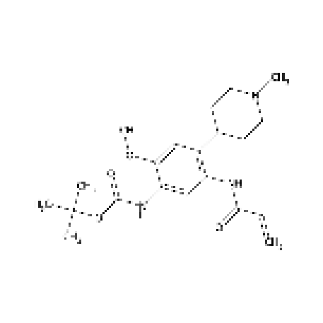 C=CC(=O)Nc1cc(NC(=O)OC(C)(C)C)c(OC)cc1C1CCN(C)CC1